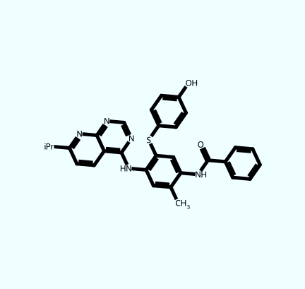 Cc1cc(Nc2ncnc3nc(C(C)C)ccc23)c(Sc2ccc(O)cc2)cc1NC(=O)c1ccccc1